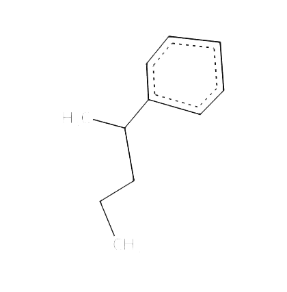 CCCC(C)c1c[c]ccc1